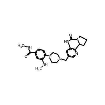 CNC(=O)c1ccc(N2CCN(Cc3cnc4c(c3)NC(=O)N3CCCC43)CC2)c(NC)c1